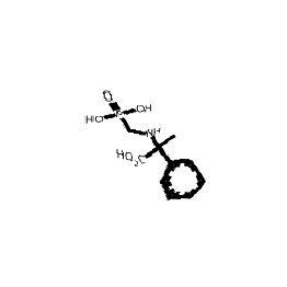 CC(NCP(=O)(O)O)(C(=O)O)c1ccccc1